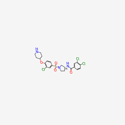 O=C(N[C@@H]1CCN(S(=O)(=O)c2ccc(OC3CCNCC3)c(Cl)c2)C1)c1ccc(Cl)c(Cl)c1